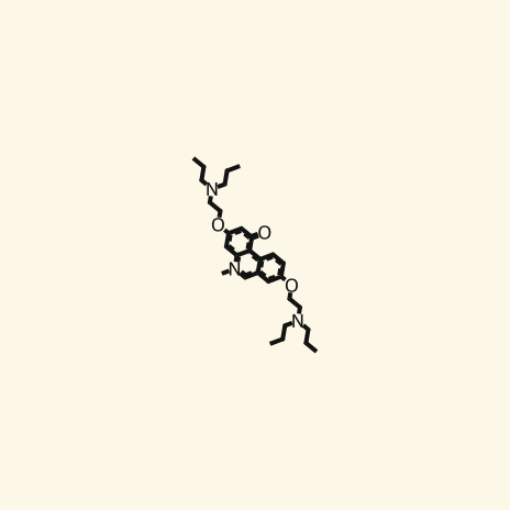 CCCN(CCC)CCOc1cc2n(C)cc3cc(OCCN(CCC)CCC)ccc3c-2c(=O)c1